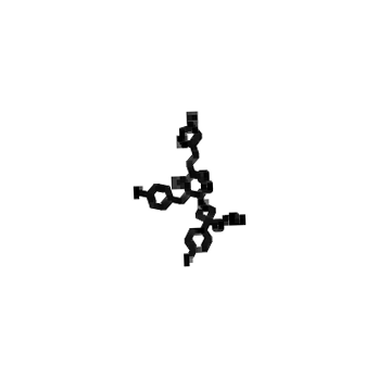 CCCCOC1(c2ccc(F)cc2)CN(C(=O)C(Cc2ccc(F)cc2)NC(=O)CCc2c[nH]cn2)C1